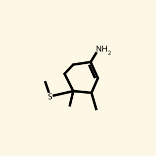 CSC1(C)CCC(N)=CC1C